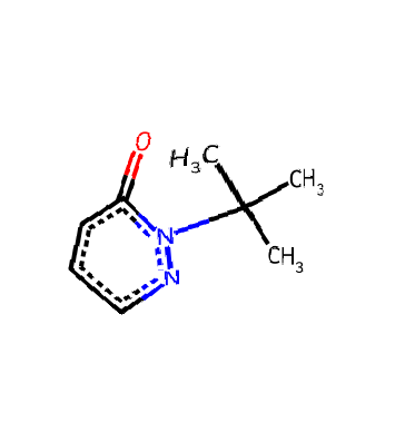 CC(C)(C)n1ncccc1=O